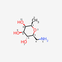 C[C@H]1O[C@@H](CN)[C@H](O)[C@@H](O)[C@H]1O